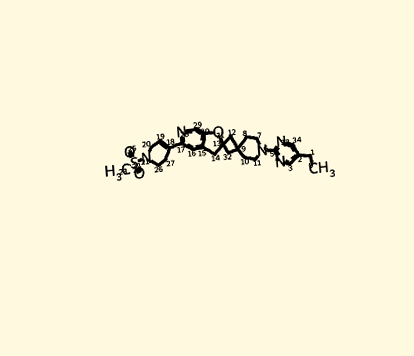 CCc1cnc(N2CCC3(CC2)CC2(Cc4cc(C5=CCN(S(C)(=O)=O)CC5)ncc4O2)C3)nc1